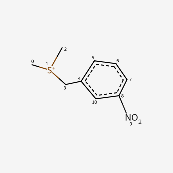 C[S+](C)Cc1cccc([N+](=O)[O-])c1